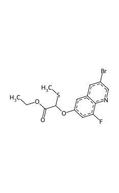 CCOC(=O)C(Oc1cc(F)c2ncc(Br)cc2c1)SC